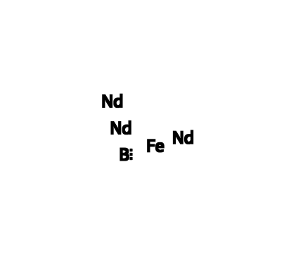 [B].[Fe].[Nd].[Nd].[Nd]